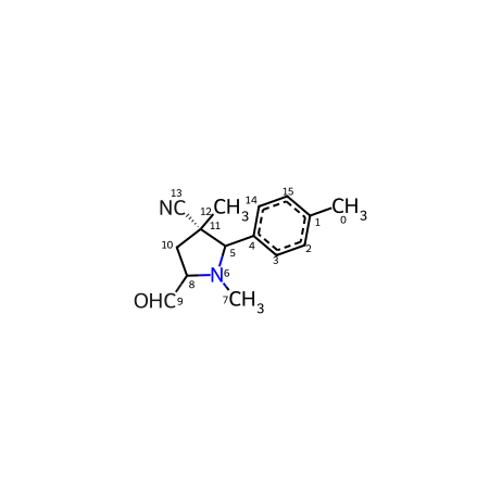 Cc1ccc(C2N(C)C(C=O)C[C@]2(C)C#N)cc1